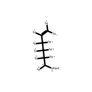 [2H]C([2H])=C([2H])C([2H])([2H])C([2H])([2H])C([2H])([2H])C([2H])CCCCC